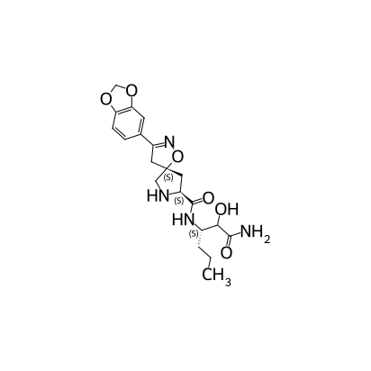 CCC[C@H](NC(=O)[C@@H]1C[C@@]2(CN1)CC(c1ccc3c(c1)OCO3)=NO2)C(O)C(N)=O